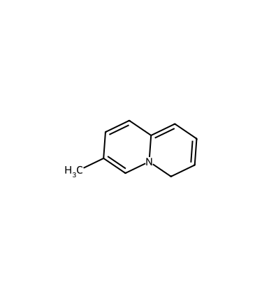 CC1=CN2CC=CC=C2C=C1